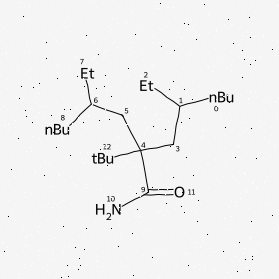 CCCCC(CC)CC(CC(CC)CCCC)(C(N)=O)C(C)(C)C